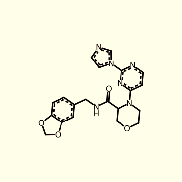 O=C(NCc1ccc2c(c1)OCO2)C1COCCN1c1ccnc(-n2ccnc2)n1